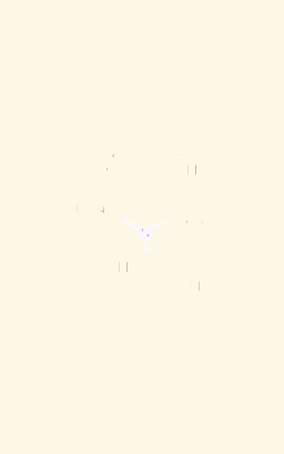 C[SiH2]N([SiH2]C)[SiH2]C